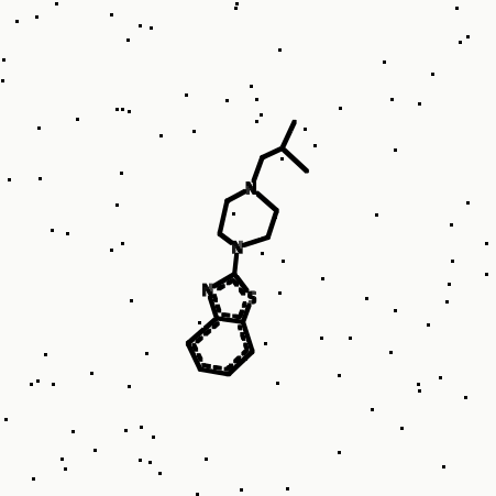 CC(C)CN1CCN(c2nc3ccccc3s2)CC1